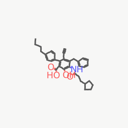 C#Cc1c(Cc2ccccc2)c(NC(=O)CCC2CCCC2)c(O)c(C(=O)O)c1-c1ccc(CCCC)cc1